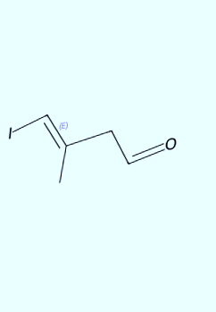 C/C(=C\I)CC=O